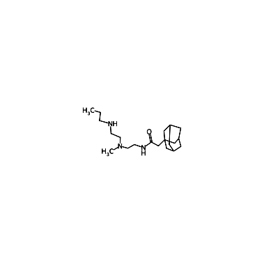 CCCNCCN(C)CCNC(=O)CC12CC3CC(CC(C3)C1)C2